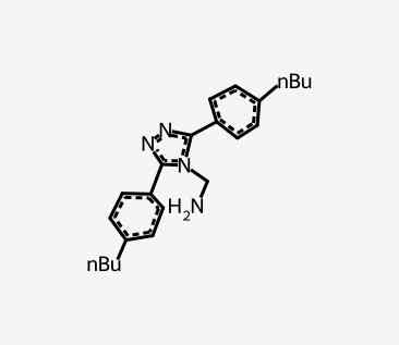 CCCCc1ccc(-c2nnc(-c3ccc(CCCC)cc3)n2CN)cc1